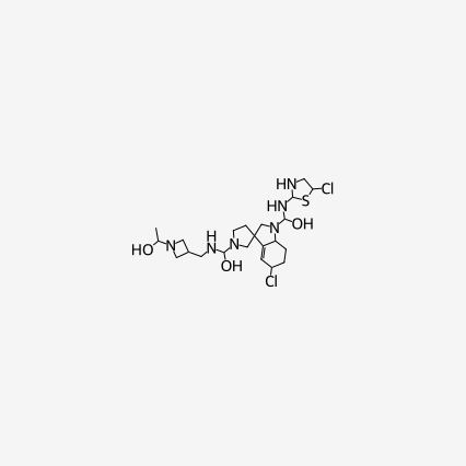 CC(O)N1CC(CNC(O)N2CCC3(C2)CN(C(O)NC2NCC(Cl)S2)C2CCC(Cl)C=C23)C1